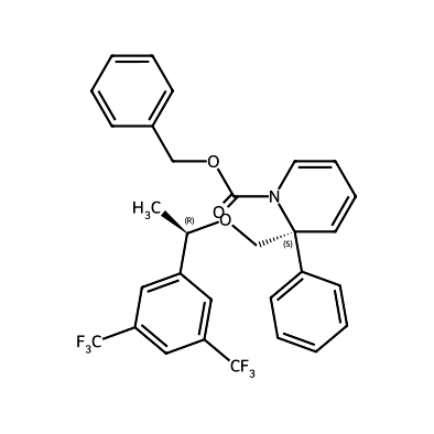 C[C@@H](OC[C@@]1(c2ccccc2)C=CC=CN1C(=O)OCc1ccccc1)c1cc(C(F)(F)F)cc(C(F)(F)F)c1